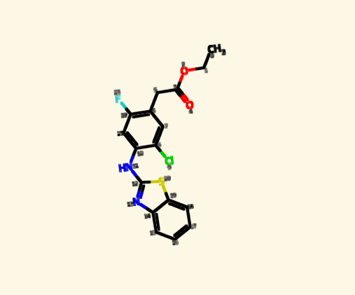 CCOC(=O)Cc1cc(Cl)c(Nc2nc3ccccc3s2)cc1F